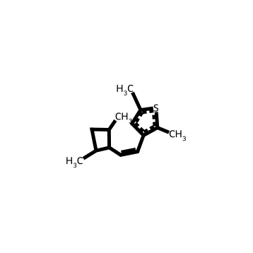 Cc1cc(/C=C\C2C(C)CC2C)c(C)s1